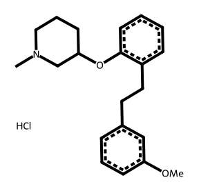 COc1cccc(CCc2ccccc2OC2CCCN(C)C2)c1.Cl